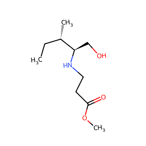 CC[C@H](C)[C@@H](CO)NCCC(=O)OC